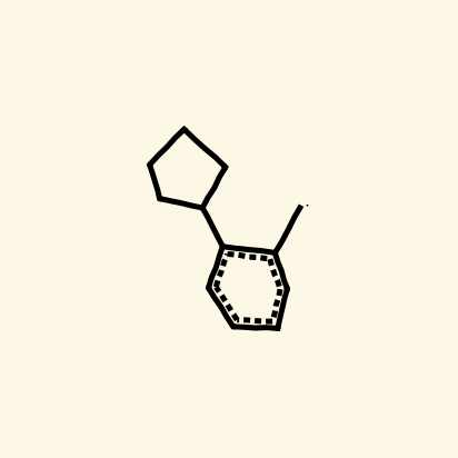 [CH2]c1ccccc1C1CCCC1